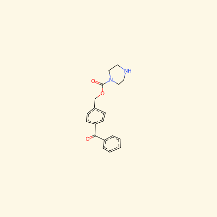 O=C(c1ccccc1)c1ccc(COC(=O)N2CCNCC2)cc1